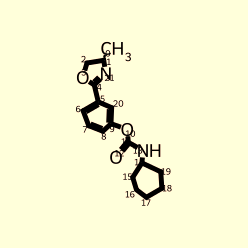 C[C@H]1COC(c2cccc(OC(=O)NC3CCCCC3)c2)=N1